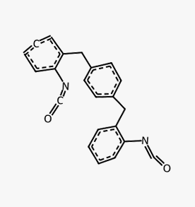 O=C=Nc1ccccc1Cc1ccc(Cc2ccccc2N=C=O)cc1